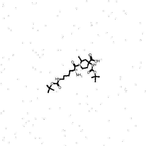 CC1CC(NC(=O)OC(C)(C)C)(C(=O)O)CCN1C(=O)[C@H](N)CCCCNC(=O)OC(C)(C)C